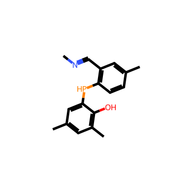 C/N=C/c1cc(C)ccc1Pc1cc(C)cc(C)c1O